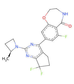 C[C@H]1CCN1c1nc(-c2cc(F)c3c(c2)OCCNC3=O)c2c(n1)C(F)(F)CC2